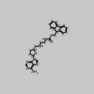 Nc1ncnc2c1ncn2C1CC[C@@H](CNCCNC(=O)OCC2c3ccccc3-c3ccccc32)O1